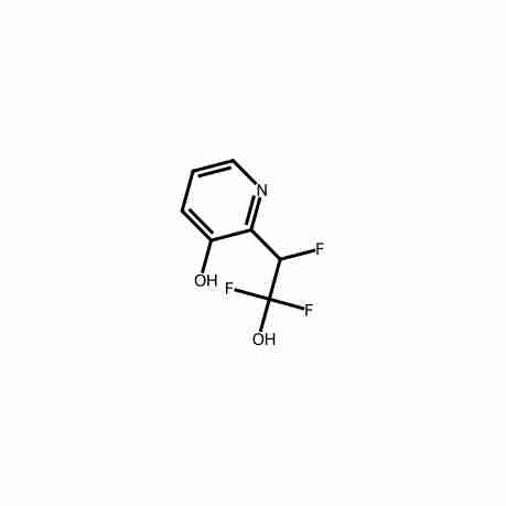 Oc1cccnc1C(F)C(O)(F)F